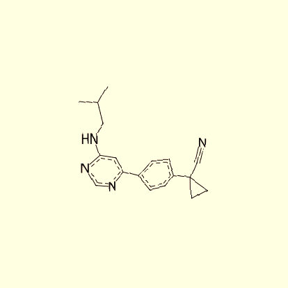 CC(C)CNc1cc(-c2ccc(C3(C#N)CC3)cc2)ncn1